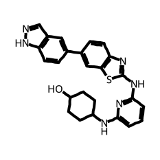 OC1CCC(Nc2cccc(Nc3nc4ccc(-c5ccc6[nH]ncc6c5)cc4s3)n2)CC1